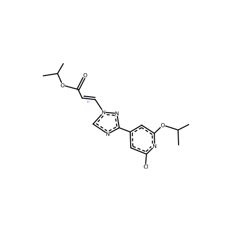 CC(C)OC(=O)/C=C/n1cnc(-c2cc(Cl)nc(OC(C)C)c2)n1